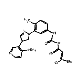 CNc1ccncc1C1C=NN(c2cc(NC(=O)NC(=N)/C=C(\O)C(C)(C)C)ccc2C)C1